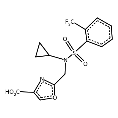 O=C(O)c1coc(CN(C2CC2)S(=O)(=O)c2ccccc2C(F)(F)F)n1